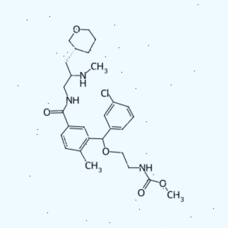 CNC(CNC(=O)c1ccc(C)c(C(OCCNC(=O)OC)c2cccc(Cl)c2)c1)C[C@H]1CCCOC1